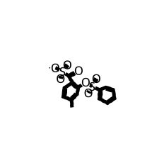 Cc1ccc(C(=O)S([O])(=O)=O)c(OS(=O)(=O)c2ccccc2)c1